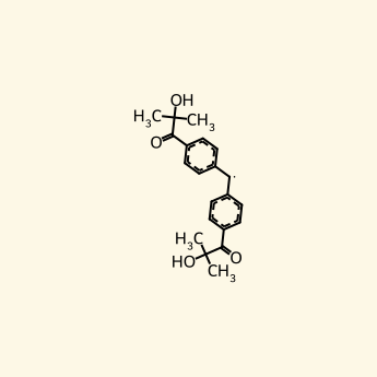 CC(C)(O)C(=O)c1ccc([CH]c2ccc(C(=O)C(C)(C)O)cc2)cc1